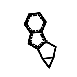 c1ccc2c(c1)cc1n2CC2CC12